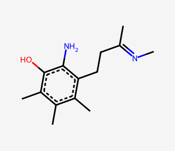 CN=C(C)CCc1c(C)c(C)c(C)c(O)c1N